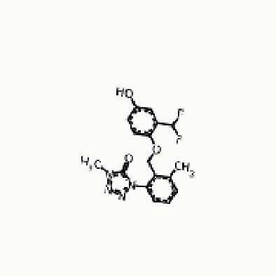 Cc1cccc(-n2nnn(C)c2=O)c1COc1ccc(O)cc1C(F)F